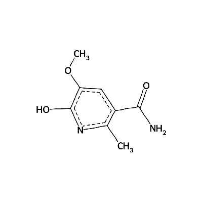 COc1cc(C(N)=O)c(C)nc1O